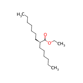 CCCCCCC[C@H](CCCCCC)C(=O)OCC